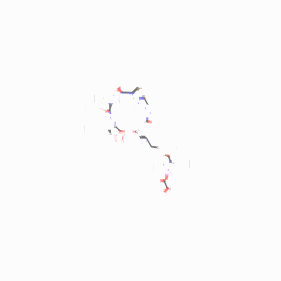 CC(C)[C@@H]1NC(=O)C(C)(C)NC(=O)c2csc(n2)CNC(=O)C[C@@H](/C=C/CCSC(=O)[C@H](C)NOC(=O)C(=O)O)OC1=O